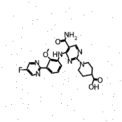 COc1c(Nc2nc(N3CCC(C(=O)O)CC3)ncc2C(N)=O)cccc1-c1ncc(F)cn1